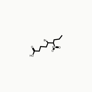 CCCC(C(Br)CCCC(=O)O)[SH](=O)=O